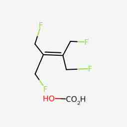 FCC(CF)=C(CF)CF.O=C(O)O